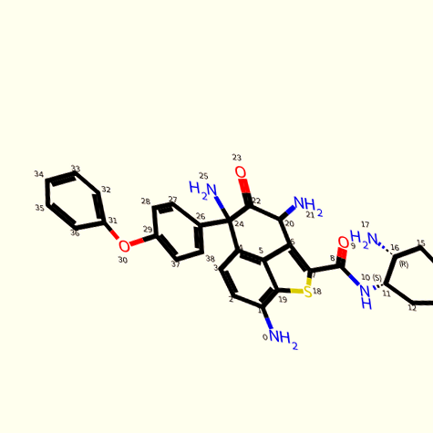 Nc1ccc2c3c(c(C(=O)N[C@H]4CCCC[C@H]4N)sc13)C(N)C(=O)C2(N)c1ccc(Oc2ccccc2)cc1